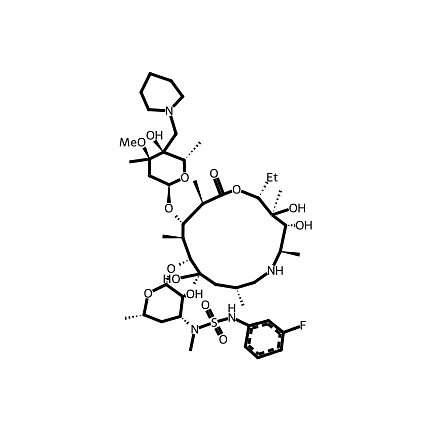 CC[C@H]1OC(=O)[C@H](C)[C@@H](O[C@H]2C[C@@](C)(OC)[C@](O)(CN3CCCCC3)[C@H](C)O2)[C@H](C)[C@@H](O[C@H]2O[C@@H](C)C[C@@H](N(C)S(=O)(=O)Nc3cccc(F)c3)[C@@H]2O)[C@](C)(O)C[C@@H](C)CN[C@H](C)[C@@H](O)[C@]1(C)O